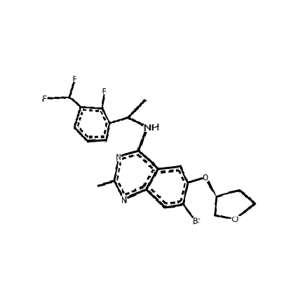 Cc1nc(NC(C)c2cccc(C(F)F)c2F)c2cc(O[C@H]3CCOC3)c(Br)cc2n1